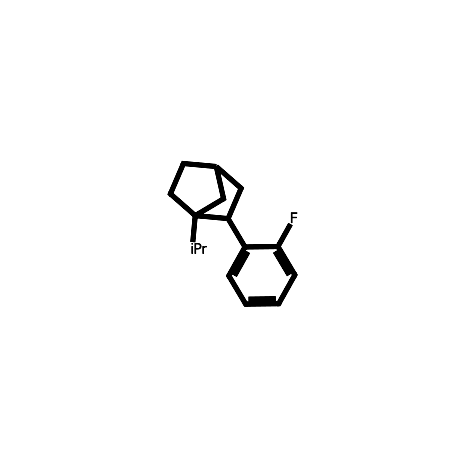 CC(C)C12CCC(CC1c1ccccc1F)C2